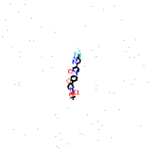 CC(C)(C)OC(=O)N1CCc2oc3cc(-n4ccc(-c5ccc(C(F)(F)F)nn5)cc4=O)ccc3c2C1